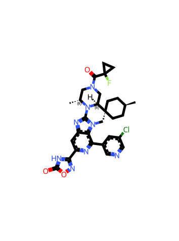 C[C@@H]1CN(C(=O)C2(F)CC2)C[C@@H]2N1c1nc3cc(-c4noc(=O)[nH]4)nc(-c4cncc(Cl)c4)c3n1C[C@]21CC[C@H](C)CC1